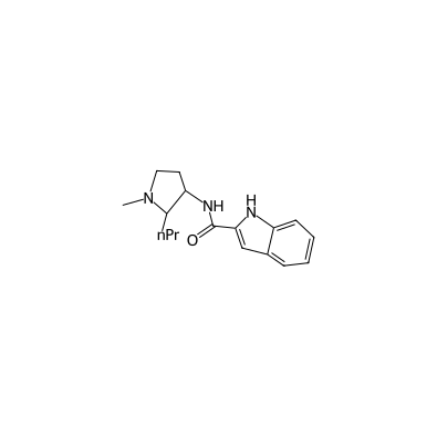 CCCC1C(NC(=O)c2cc3ccccc3[nH]2)CCN1C